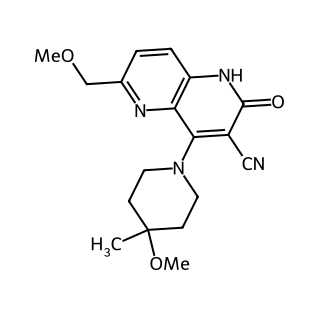 COCc1ccc2[nH]c(=O)c(C#N)c(N3CCC(C)(OC)CC3)c2n1